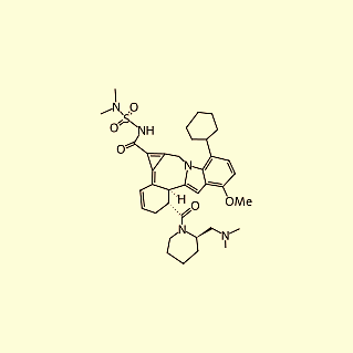 COc1ccc(C2CCCCC2)c2c1cc1n2CC2=C(C(=O)NS(=O)(=O)N(C)C)C2=C2C=CC[C@@H](C(=O)N3CCCC[C@@H]3CN(C)C)[C@@H]21